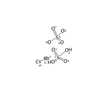 O=S(=O)(O)O.O=S(=O)([O-])[O-].[Cs+].[Rb+]